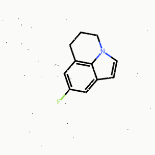 Fc1cc2c3c(ccn3CCC2)c1